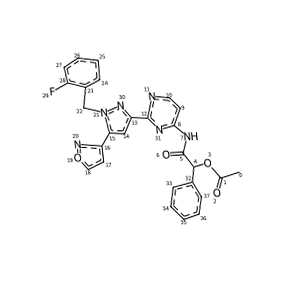 CC(=O)OC(C(=O)Nc1ccnc(-c2cc(-c3ccon3)n(Cc3ccccc3F)n2)n1)c1ccccc1